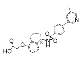 Cc1cncc(-c2ccc(S(=O)(=O)N[C@@H]3CCCc4c(OCC(=O)O)cccc43)cc2)c1